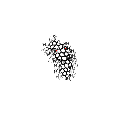 Bc1c(-c2c3c(B)c(B)c(B)c(B)c3c(-c3c(B)c(B)c(-c4c(B)c(B)c5c(B)c(B)c(B)c(B)c5c4B)c4c(B)c(B)c(B)c(B)c34)c3c(B)c(B)c(B)c(B)c23)c(B)c2c(oc3c(B)c(B)c4c(B)c(B)c(B)c(B)c4c32)c1B